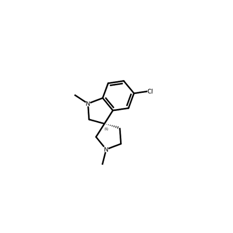 CN1CC[C@]2(C1)CN(C)c1ccc(Cl)cc12